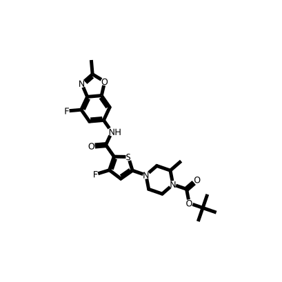 Cc1nc2c(F)cc(NC(=O)c3sc(N4CCN(C(=O)OC(C)(C)C)C(C)C4)cc3F)cc2o1